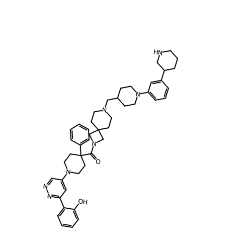 O=C(N1CC2(CCN(CC3CCN(c4cccc(C5CCCNC5)c4)CC3)CC2)C1)C1(c2ccccc2)CCN(c2cnnc(-c3ccccc3O)c2)CC1